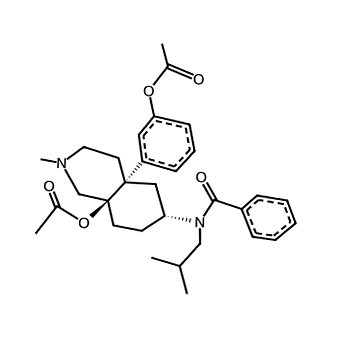 CC(=O)Oc1cccc([C@@]23CCN(C)C[C@@]2(OC(C)=O)CC[C@@H](N(CC(C)C)C(=O)c2ccccc2)C3)c1